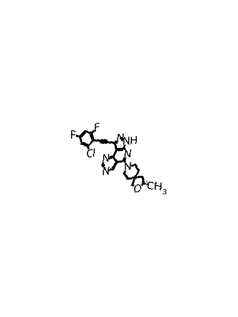 C[C@H]1CC2(CCN(c3nc4[nH]nc(C#Cc5c(F)cc(F)cc5Cl)c4c4ncncc34)CC2)CO1